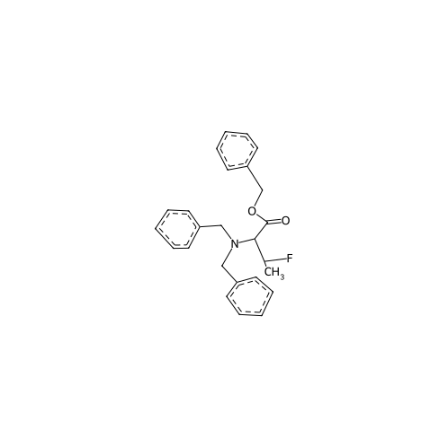 CC(F)C(C(=O)OCc1ccccc1)N(Cc1ccccc1)Cc1ccccc1